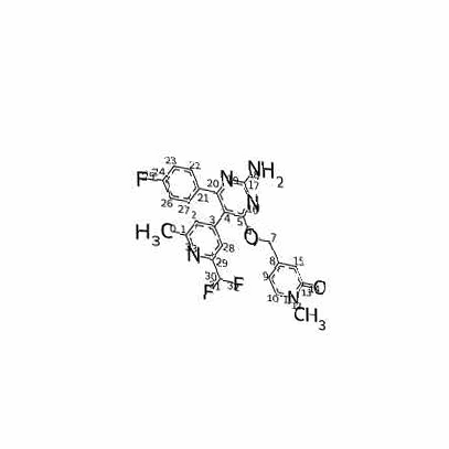 Cc1cc(-c2c(OCc3ccn(C)c(=O)c3)nc(N)nc2-c2ccc(F)cc2)cc(C(F)F)n1